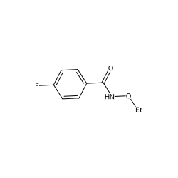 CCONC(=O)c1ccc(F)cc1